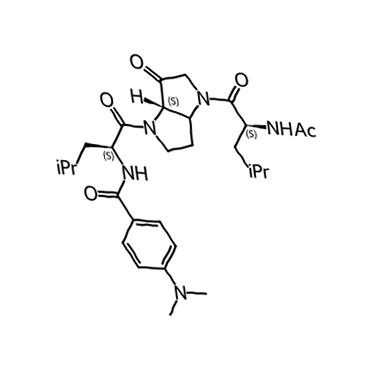 CC(=O)N[C@@H](CC(C)C)C(=O)N1CC(=O)[C@@H]2C1CCN2C(=O)[C@H](CC(C)C)NC(=O)c1ccc(N(C)C)cc1